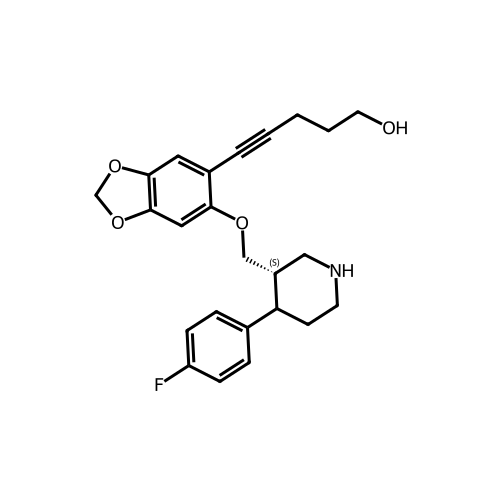 OCCCC#Cc1cc2c(cc1OC[C@@H]1CNCCC1c1ccc(F)cc1)OCO2